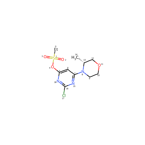 CCS(=O)(=O)Oc1cc(N2CCOC[C@H]2C)nc(Cl)n1